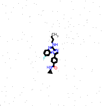 CCCCNc1nc2ccc(F)cc2n2c(-c3ccc(C(=O)NC4CC4)cc3)cnc12